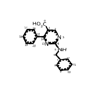 O=C(O)c1cnc(NCc2ccccc2)nc1-c1ccccc1